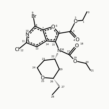 CCOC(=O)c1oc2c(Br)nc(Cl)cc2c1N(C(=O)OCC)[C@H]1CCO[C@@H](CC)C1